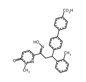 Cc1ccccc1C(CC(=NO)c1ccc(=O)n(C)n1)c1ccc(-c2ccc(C(=O)O)cc2)cc1